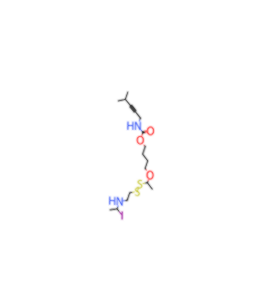 CC(C)C#CCNC(=O)OCCCCOC(C)SSCCNC(C)I